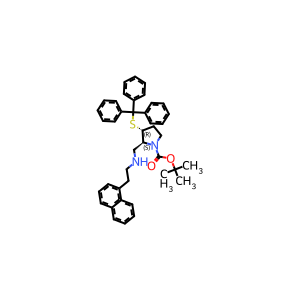 CC(C)(C)OC(=O)N1CC[C@@H](SC(c2ccccc2)(c2ccccc2)c2ccccc2)[C@@H]1CNCCc1cccc2ccccc12